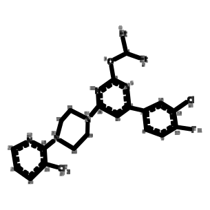 CCC(CC)Oc1nc(-c2ccc(F)c(Cl)c2)cc(N2CCN(c3ncccc3C(F)(F)F)CC2)n1